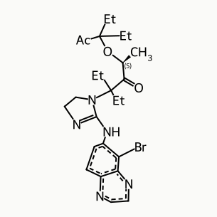 CCC(CC)(O[C@@H](C)C(=O)C(CC)(CC)N1CCN=C1Nc1ccc2nccnc2c1Br)C(C)=O